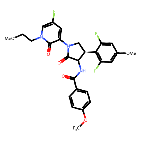 COCCn1cc(F)cc(N2C[C@@H](c3c(F)cc(OC)cc3F)C(NC(=O)c3ccc(OC(F)(F)F)cc3)C2=O)c1=O